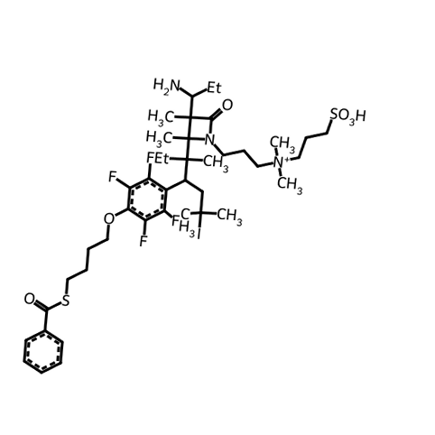 CCC(N)C1(C)C(=O)N(CCC[N+](C)(C)CCCS(=O)(=O)O)C1(C)C(C)(CC)C(CC(C)(C)I)c1c(F)c(F)c(OCCCCSC(=O)c2ccccc2)c(F)c1F